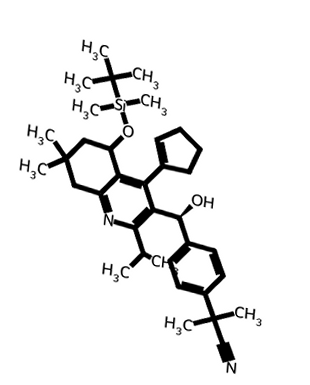 CC(C)c1nc2c(c(C3=CCCC3)c1[C@@H](O)c1ccc(C(C)(C)C#N)cc1)C(O[Si](C)(C)C(C)(C)C)CC(C)(C)C2